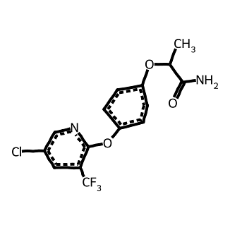 CC(Oc1ccc(Oc2ncc(Cl)cc2C(F)(F)F)cc1)C(N)=O